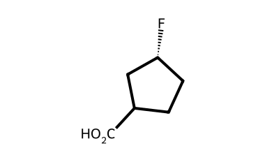 O=C(O)C1CC[C@@H](F)C1